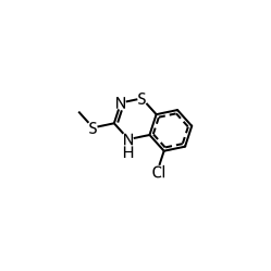 CSC1=NSc2cccc(Cl)c2N1